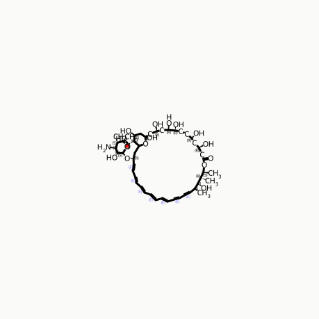 C[C@@H]1[C@H](O)[C@@H](C)/C=C/C=C/C=C/C=C/C=C/C=C/C=C/[C@H](O[C@@H]2O[C@H](C)[C@@H](C)[C@H](N)[C@H]2O)CC2O[C@](O)(C[C@@H](O)C[C@@H](O)[C@H](O)CC[C@@H](O)C[C@@H](O)CC(=O)O[C@H]1C)C[C@H](O)[C@H]2C(=O)O